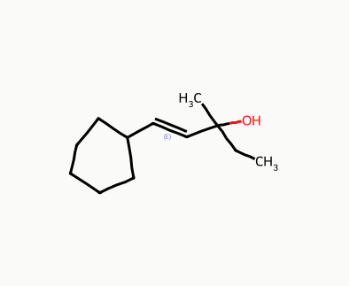 CCC(C)(O)/C=C/C1CCCCC1